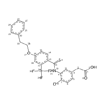 O=C(O)Cc1ccc(Cl)c(NC(=S)c2ccc(OCCc3ccccc3)cc2C(F)(F)F)c1